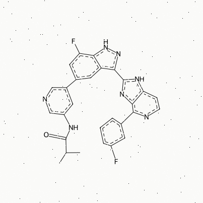 CC(C)C(=O)Nc1cncc(-c2cc(F)c3[nH]nc(-c4nc5c(-c6cccc(F)c6)nccc5[nH]4)c3c2)c1